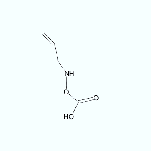 C=CCNOC(=O)O